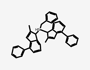 CC1=Cc2c(-c3ccccc3)cccc2C1[SiH](Cc1ccccc1)C1C(C)=Cc2c(-c3ccccc3)cccc21